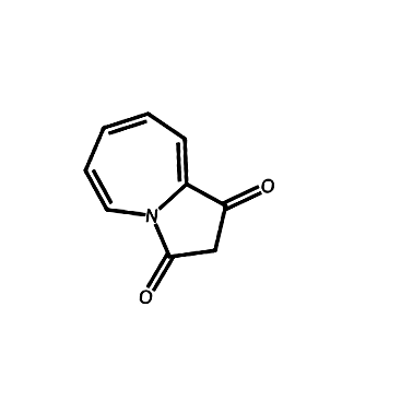 O=C1CC(=O)N2C=CC=CC=C12